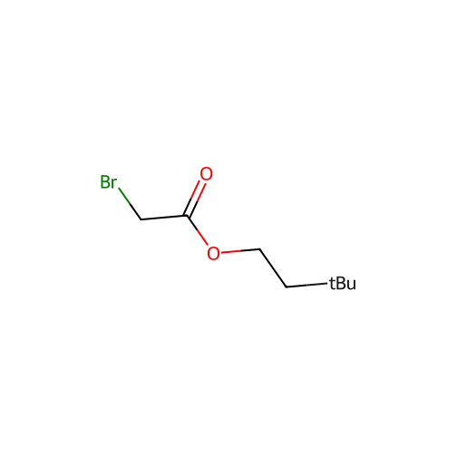 CC(C)(C)CCOC(=O)CBr